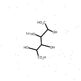 O=C(O)C(O)C(O)C(O)C(O)C(=O)O.[Lu]